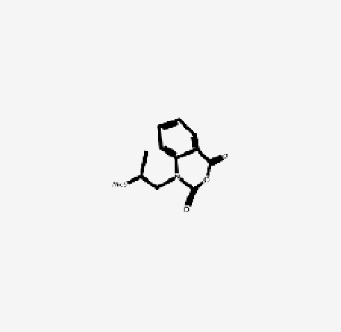 CSC(C)Cn1c(=O)oc(=O)c2ccccc21